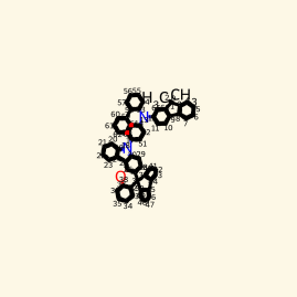 CC1(C)c2ccccc2-c2ccc(N(c3ccc(-n4c5ccccc5c5c6c(ccc54)C4(c5ccccc5O6)c5ccccc5-c5ccccc54)cc3)c3ccccc3-c3ccccc3)cc21